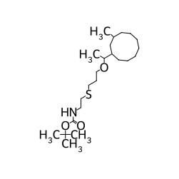 CC1CCCCCCCC(C(C)OCCCSCCNC(=O)OC(C)(C)C)C1